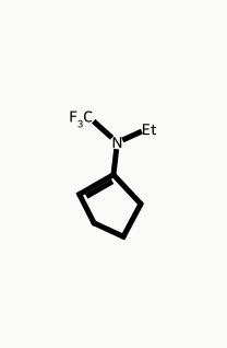 CCN(C1=CCCC1)C(F)(F)F